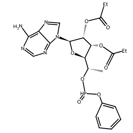 CCC(=O)O[C@H]1[C@@H](OC(=O)CC)[C@H](n2cnc3c(N)ncnc32)O[C@@H]1[C@H](C)O[PH](=O)Oc1ccccc1